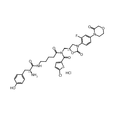 Cl.N[C@@H](Cc1ccc(O)cc1)C(=O)NCCCCC(=O)N(C[C@H]1CN(c2ccc(N3CCOCC3=O)cc2F)C(=O)O1)C(=O)c1ccc(Cl)s1